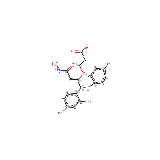 O=C(O)CCO[C@H](CC(=O)NO)[C@H](Cc1ccc(Cl)cc1)c1ccc(F)cc1F